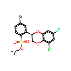 COS(=O)(=O)c1ccc(Br)cc1[C@@H]1COc2c(Cl)cc(F)cc2O1